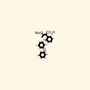 COC(C)=C(C(=O)O)c1ccccc1Sc1cccc(Oc2ccccc2)c1